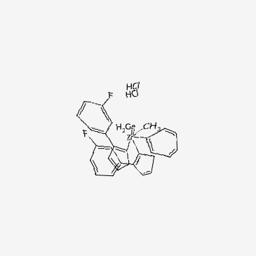 Cl.Cl.[CH3][Zr](=[GeH2])([C]1=C(c2cccc(F)c2)C=CC1)([C]1=C(c2cccc(F)c2)C=CC1)[c]1ccccc1